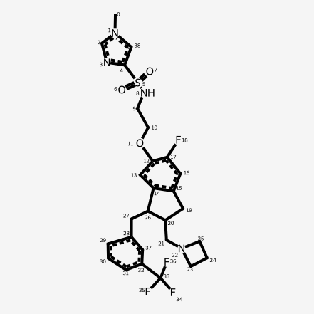 Cn1cnc(S(=O)(=O)NCCOc2cc3c(cc2F)CC(CN2CCC2)C3Cc2cccc(C(F)(F)F)c2)c1